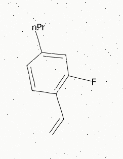 C=Cc1ccc(CCC)cc1F